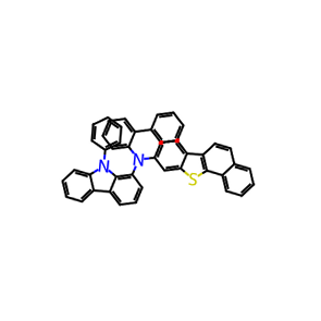 c1ccc(-c2ccccc2N(c2ccc3c(c2)sc2c4ccccc4ccc32)c2cccc3c4ccccc4n(-c4ccccc4)c23)cc1